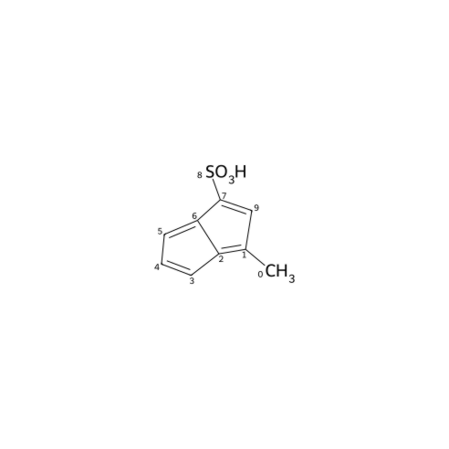 CC1=C2C=CC=C2C(S(=O)(=O)O)=C1